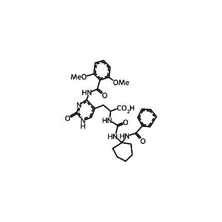 COc1cccc(OC)c1C(=O)Nc1nc(=O)[nH]cc1CC(NC(=O)NC1(NC(=O)c2ccccc2)CCCCC1)C(=O)O